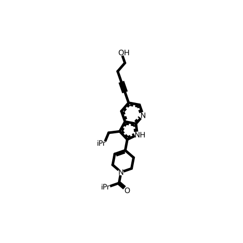 CC(C)Cc1c(C2=CCN(C(=O)C(C)C)CC2)[nH]c2ncc(C#CCCO)cc12